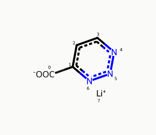 O=C([O-])c1ccnnn1.[Li+]